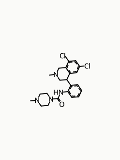 CN1CCN(C(=O)Nc2ccccc2C2CN(C)Cc3c(Cl)cc(Cl)cc32)CC1